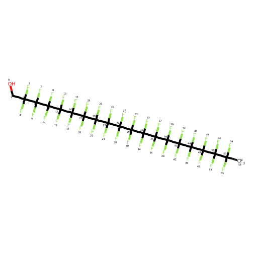 OCC(F)(F)C(F)(F)C(F)(F)C(F)(F)C(F)(F)C(F)(F)C(F)(F)C(F)(F)C(F)(F)C(F)(F)C(F)(F)C(F)(F)C(F)(F)C(F)(F)C(F)(F)C(F)(F)C(F)(F)C(F)(F)C(F)(F)F